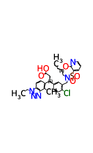 CC[C@@H]1CN(Cc2cc([C@H](CC(=O)O)c3ccc4c(nnn4CC)c3C)ccc2Cl)S(=O)(=O)c2cccnc2O1